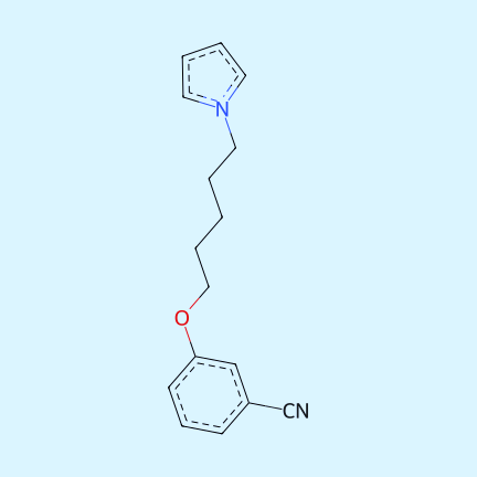 N#Cc1cccc(OCCCCCn2cccc2)c1